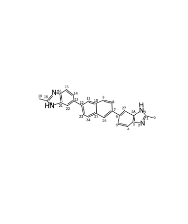 Cc1nc2ccc(-c3ccc4cc(-c5ccc6nc(C)[nH]c6c5)ccc4c3)cc2[nH]1